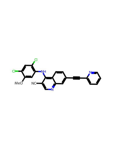 COc1cc(Nc2c(C#N)cnc3cc(C#Cc4ccccn4)ccc23)c(Cl)cc1Cl